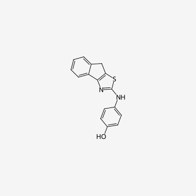 Oc1ccc(Nc2nc3c(s2)Cc2ccccc2-3)cc1